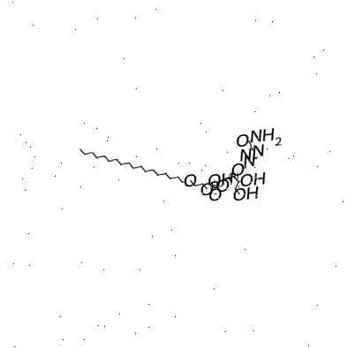 CCCCCCCCCCCCCCCCCCOCCOP(=O)(O)OC[C@@H](OCn1cnc(C(N)=O)n1)C(O)CO